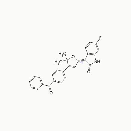 CC1(C)O/C(=C2/C(=O)Nc3cc(F)ccc32)C=C1c1ccc(C(=O)c2ccccc2)cc1